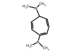 CN(C)C1=CC=CC(N(C)C)C=C1